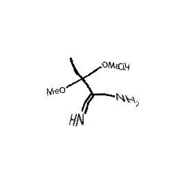 COC(C)(OC)C(=N)N.Cl